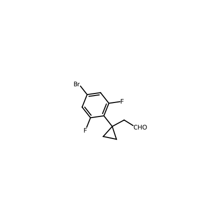 O=CCC1(c2c(F)cc(Br)cc2F)CC1